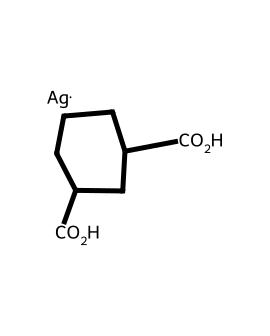 O=C(O)C1CCCC(C(=O)O)C1.[Ag]